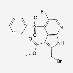 COC(=O)c1c(CBr)[nH]c2ncc(Br)c(S(=O)(=O)c3ccccc3)c12